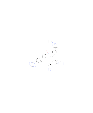 CN1CCC2(CC1)COc1cc3c(cc12)NCC3.Cc1cc(-c2cnccn2)ccc1-c1ccc(C(=O)N2CCc3cc4c(cc32)C2(CCN(C)CC2)CO4)cc1